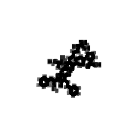 CC(C)C[C@@H](NC(=O)[C@@H](CCc1ccccc1)NC(=O)[C@H](N)Cc1ccccc1)C(=O)N[C@H](CCCCNC(=N)N)C(=O)N1CCC(N2CCCC2C(=O)O)CC1